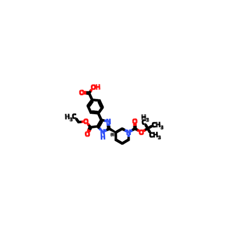 CCOC(=O)c1[nH]c([C@@H]2CCCN(C(=O)OC(C)(C)C)C2)nc1-c1ccc(C(=O)O)cc1